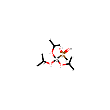 CC(C)O[Si](OC(C)C)(OC(C)C)S(C)(=O)=O